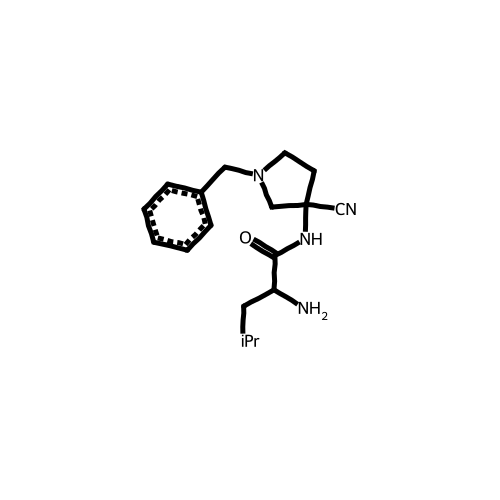 CC(C)CC(N)C(=O)NC1(C#N)CCN(Cc2ccccc2)C1